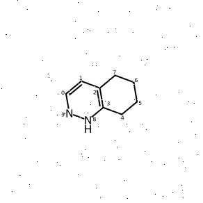 C1=CC2=C(CCCC2)N[N]1